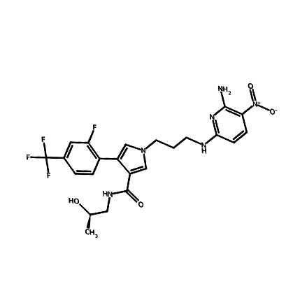 C[C@@H](O)CNC(=O)c1cn(CCCNc2ccc([N+](=O)[O-])c(N)n2)cc1-c1ccc(C(F)(F)F)cc1F